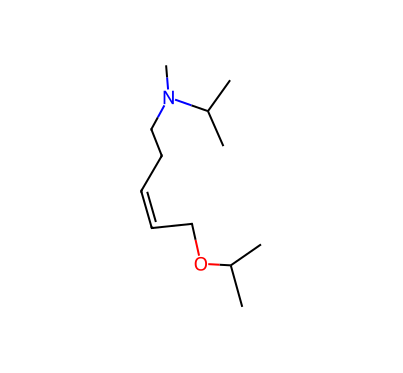 CC(C)OC/C=C\CCN(C)C(C)C